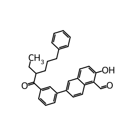 CCC(CCCc1ccccc1)C(=O)c1cccc(-c2ccc3c(C=O)c(O)ccc3c2)c1